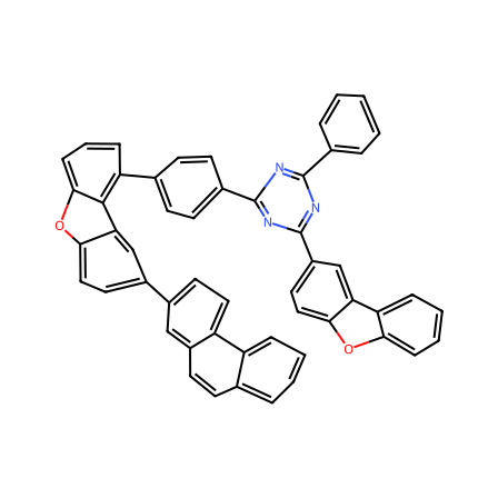 c1ccc(-c2nc(-c3ccc(-c4cccc5oc6ccc(-c7ccc8c(ccc9ccccc98)c7)cc6c45)cc3)nc(-c3ccc4oc5ccccc5c4c3)n2)cc1